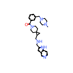 CN1CCN(Cc2cccc(C(=O)N3CCC4(CC3)CC4CNCc3cc4cnccc4[nH]3)c2)CC1